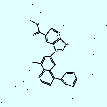 CNC(=O)c1cnc2[nH]cc(-c3cc(C)c4nccc(-c5cccnc5)c4c3)c2c1